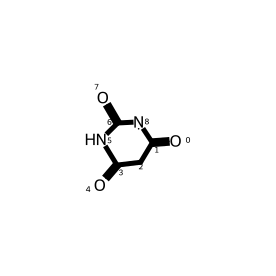 O=C1CC(=O)NC(=O)[N]1